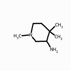 CN1CCC(C)(C)C(N)C1